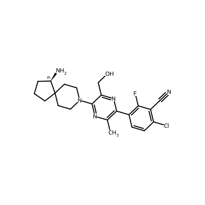 Cc1nc(N2CCC3(CCC[C@H]3N)CC2)c(CO)nc1-c1ccc(Cl)c(C#N)c1F